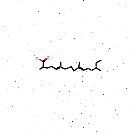 CCC(C)CC/C=C(\C)CCC/C(C)=C/CCC(C)C(=O)O